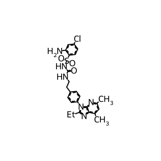 CCc1nc2c(C)cc(C)nc2n1-c1ccc(CCNC(=O)NS(=O)(=O)c2ccc(Cl)cc2N)cc1